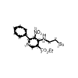 CCOC(=O)c1cnc(-c2ccccc2)c([N+](=O)[O-])c1NCCC(C)(C)C